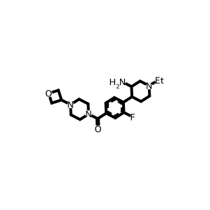 CCN1CCC(c2ccc(C(=O)N3CCN(C4COC4)CC3)cc2F)C(N)C1